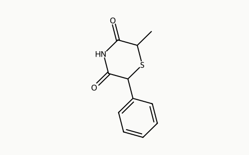 CC1SC(c2ccccc2)C(=O)NC1=O